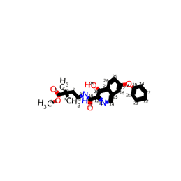 COC(=O)C(C)(C)CCNC(=O)c1ncc2cc(Oc3ccccc3)ccc2c1O